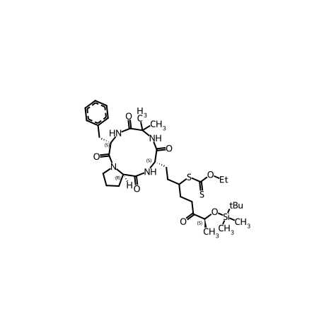 CCOC(=S)SC(CCC(=O)[C@H](C)O[Si](C)(C)C(C)(C)C)CC[C@@H]1NC(=O)[C@H]2CCCN2C(=O)[C@H](Cc2ccccc2)NC(=O)C(C)(C)NC1=O